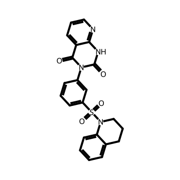 O=c1[nH]c2ncccc2c(=O)n1-c1cccc(S(=O)(=O)N2CCCc3ccccc32)c1